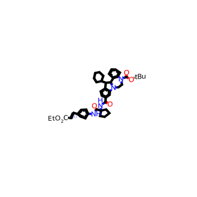 CCOC(=O)/C=C/c1ccc(NC(=O)C2(NC(=O)c3ccc4c(c3)N3CCN(C(=O)OC(C)(C)C)c5ccccc5C3C4C3CCCCC3)CCCC2)cc1